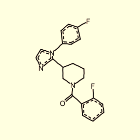 O=C(c1ccccc1F)N1CCCC(c2nccn2-c2ccc(F)cc2)C1